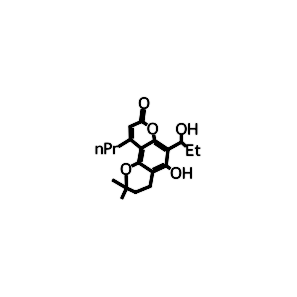 CCCc1cc(=O)oc2c(C(O)CC)c(O)c3c(c12)OC(C)(C)CC3